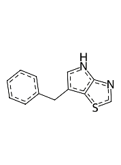 c1ccc(Cc2c[nH]c3ncsc23)cc1